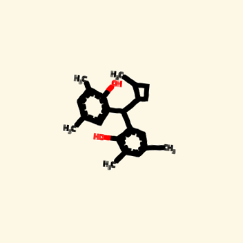 Cc1cc(C)c(O)c(C(c2cc(C)cc(C)c2O)C2CCC2C)c1